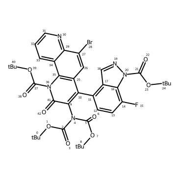 CC(C)(C)OC(=O)N(C(=O)OC(C)(C)C)c1c(-c2ccc(F)c3c2cnn3C(=O)OC(C)(C)C)c2cc(Br)c3ncccc3c2n(C(=O)OC(C)(C)C)c1=O